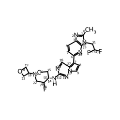 Cc1nc2ccc(-c3ccn4nc(N[C@H]5CCN(C6COC6)C[C@@H]5F)ncc34)nc2n1CC(F)F